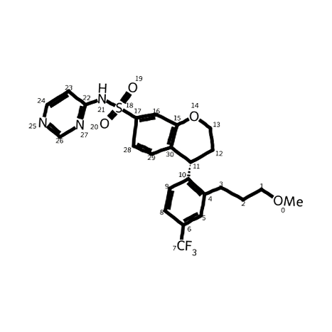 COCCCc1cc(C(F)(F)F)ccc1[C@H]1CCOc2cc(S(=O)(=O)Nc3ccncn3)ccc21